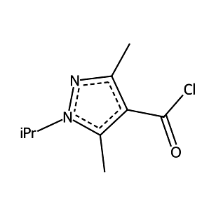 Cc1nn(C(C)C)c(C)c1C(=O)Cl